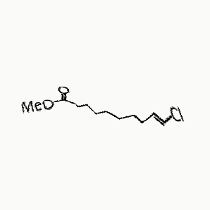 COC(=O)CCCCCCC/C=C/Cl